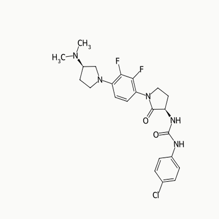 CN(C)[C@@H]1CCN(c2ccc(N3CC[C@@H](NC(=O)Nc4ccc(Cl)cc4)C3=O)c(F)c2F)C1